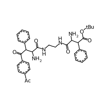 CC(=O)c1ccc(C(=O)C(c2ccccc2)C(N)C(=O)NCCNC(=O)C(N)C(C(=O)OC(C)(C)C)c2ccccc2)cc1